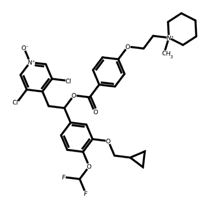 C[N+]1(CCOc2ccc(C(=O)OC(Cc3c(Cl)c[n+]([O-])cc3Cl)c3ccc(OC(F)F)c(OCC4CC4)c3)cc2)CCCCC1